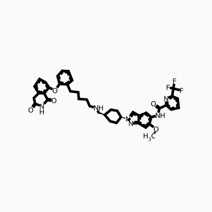 COc1cc2nn([C@H]3CC[C@H](CNCCCCCc4ccccc4Oc4cccc5c4C(=O)NC(=O)C5)CC3)cc2cc1NC(=O)c1cccc(C(F)(F)F)n1